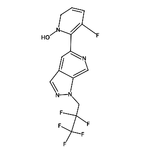 ON1CC=CC(F)=C1c1cc2cnn(CC(F)(F)C(F)(F)F)c2cn1